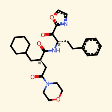 O=C(N[C@@H](CCc1ccccc1)C(=O)c1ncco1)[C@@H](CC(=O)N1CCOCC1)CC1CCCCC1